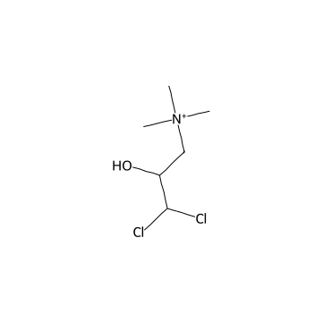 C[N+](C)(C)CC(O)C(Cl)Cl